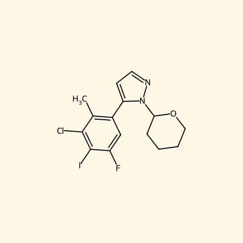 Cc1c(-c2ccnn2C2CCCCO2)cc(F)c(I)c1Cl